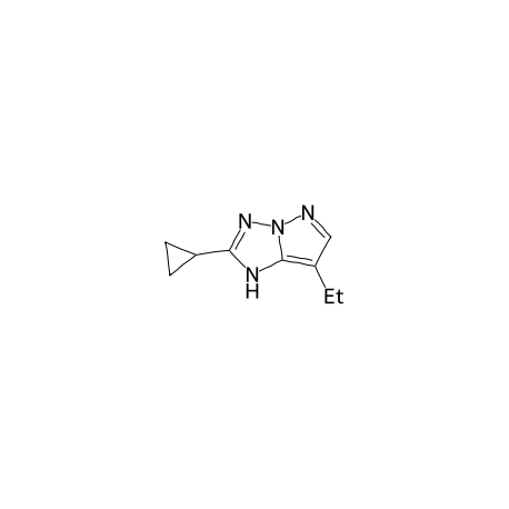 CCc1cnn2nc(C3CC3)[nH]c12